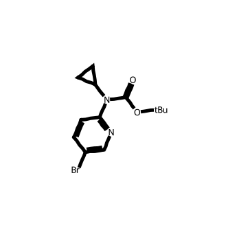 CC(C)(C)OC(=O)N(c1ccc(Br)cn1)C1CC1